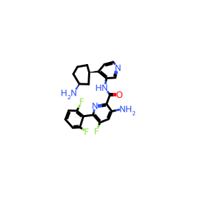 Nc1cc(F)c(-c2c(F)cccc2F)nc1C(=O)Nc1cnccc1[C@@H]1CCC[C@H](N)C1